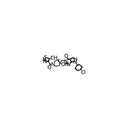 Cc1snnc1C(=O)N1CCC(O)(Cn2cnc3c(cnn3-c3ccc(Cl)cc3)c2=O)CC1